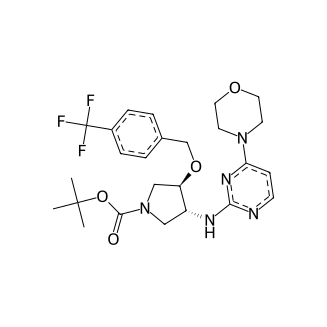 CC(C)(C)OC(=O)N1C[C@@H](Nc2nccc(N3CCOCC3)n2)[C@H](OCc2ccc(C(F)(F)F)cc2)C1